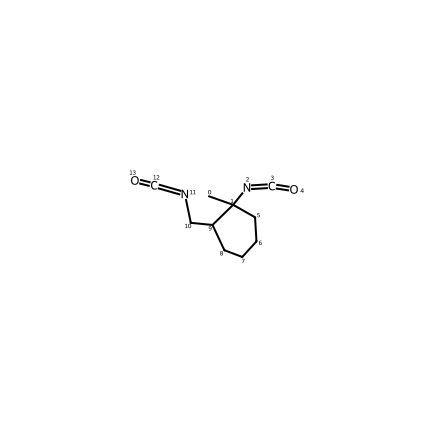 CC1(N=C=O)CCCCC1CN=C=O